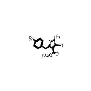 CCCn1nc(Cc2ccc(Br)cc2)c(C(=O)OC)c1CC